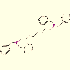 c1ccc(CP(CCCCCCCCP(Cc2ccccc2)Cc2ccccc2)Cc2ccccc2)cc1